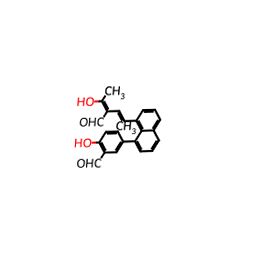 C/C(O)=C(C=O)\C=C(/C)c1cccc2cccc(-c3ccc(O)c(C=O)c3)c12